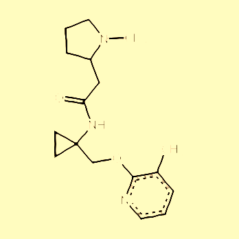 Cc1cccnc1OCC1(NC(=O)CC2CCCN2C)CC1